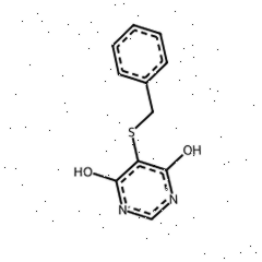 Oc1ncnc(O)c1SCc1ccccc1